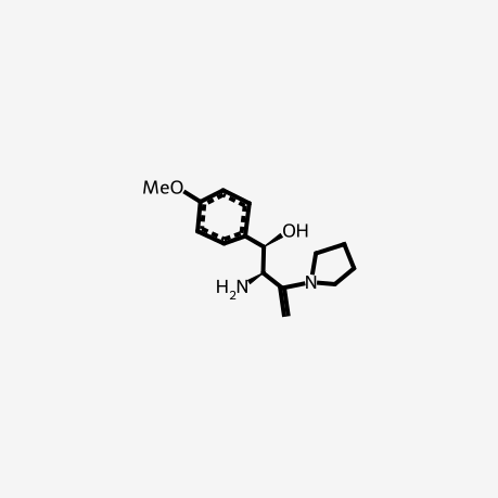 C=C([C@@H](N)[C@H](O)c1ccc(OC)cc1)N1CCCC1